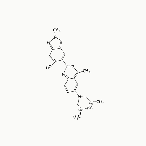 Cc1nc(-c2cc3cn(C)nc3cc2O)nc2ccc(N3C[C@H](C)N[C@@H](C)C3)cc12